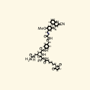 COc1ccc(N(C)c2cc(C#N)nc3ccccc23)cc1/C=C/C(=O)NOCc1ccc(NC(=O)[C@H](CCCNC(N)=O)NC(=O)C(NC(=O)CCCCCN2C(=O)C=CC2=O)C(C)C)cc1